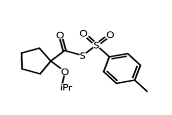 Cc1ccc(S(=O)(=O)SC(=O)C2(OC(C)C)CCCC2)cc1